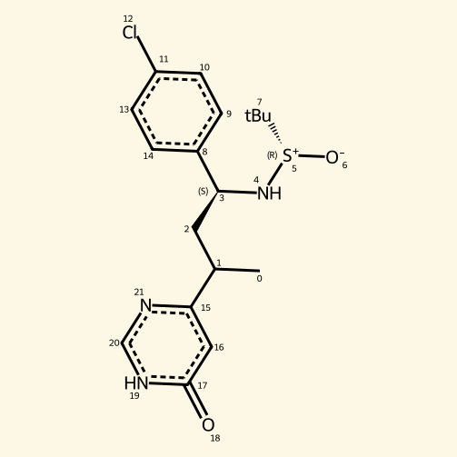 CC(C[C@H](N[S@@+]([O-])C(C)(C)C)c1ccc(Cl)cc1)c1cc(=O)[nH]cn1